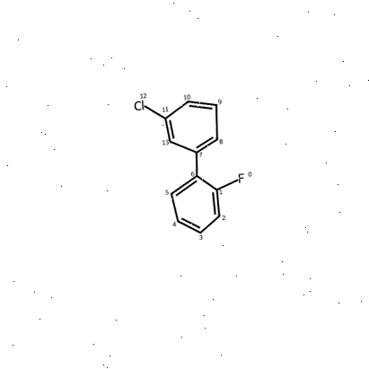 Fc1ccccc1-c1cccc(Cl)c1